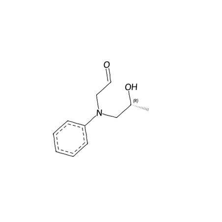 C[C@@H](O)CN(CC=O)c1ccccc1